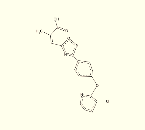 CC(=Cc1nc(-c2ccc(Oc3ncccc3Cl)cc2)no1)C(=O)O